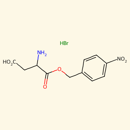 Br.NC(CC(=O)O)C(=O)OCc1ccc([N+](=O)[O-])cc1